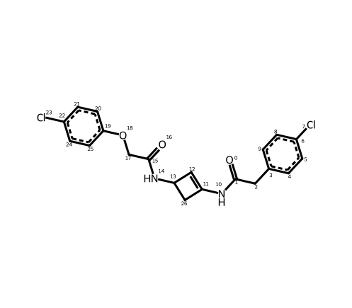 O=C(Cc1ccc(Cl)cc1)NC1=CC(NC(=O)COc2ccc(Cl)cc2)C1